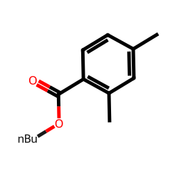 CCCCOC(=O)c1ccc(C)cc1C